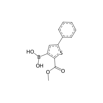 COC(=O)c1sc(-c2ccccc2)cc1B(O)O